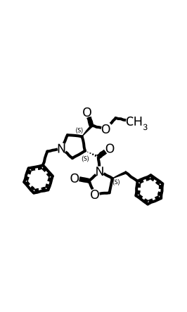 CCOC(=O)[C@@H]1CN(Cc2ccccc2)C[C@H]1C(=O)N1C(=O)OC[C@@H]1Cc1ccccc1